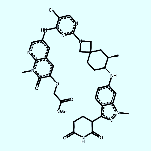 CNC(=O)COc1cc2cc(Nc3nc(N4CC5(CC[C@@H](Nc6ccc7c(C8CCC(=O)NC8=O)nn(C)c7c6)[C@H](C)C5)C4)ncc3Cl)cnc2n(C)c1=O